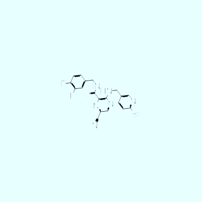 C[C@H](NC(=O)c1nc(C#N)cnc1N[C@H](C)c1ccc(Br)nc1)c1ccc(F)c(F)c1